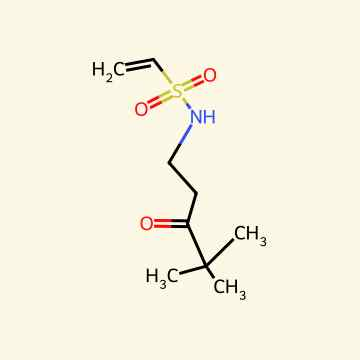 C=CS(=O)(=O)NCCC(=O)C(C)(C)C